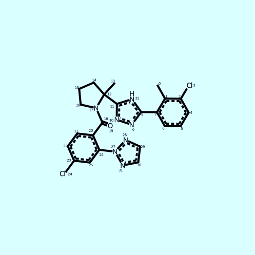 Cc1c(Cl)cccc1-c1nnc(C2(C)CCCN2C(=O)c2ccc(Cl)cc2-n2nccn2)[nH]1